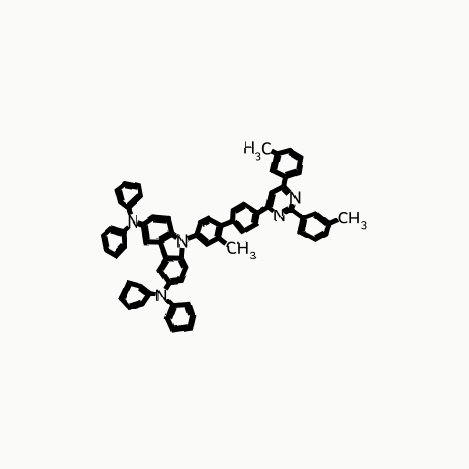 Cc1cccc(-c2cc(-c3ccc(-c4ccc(-n5c6ccc(N(c7ccccc7)c7ccccc7)cc6c6cc(N(c7ccccc7)c7ccccc7)ccc65)cc4C)cc3)nc(-c3cccc(C)c3)n2)c1